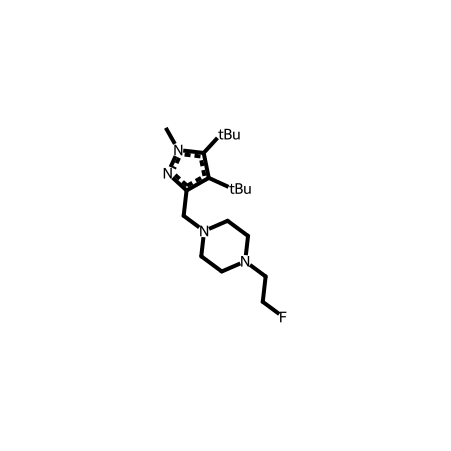 Cn1nc(CN2CCN(CCF)CC2)c(C(C)(C)C)c1C(C)(C)C